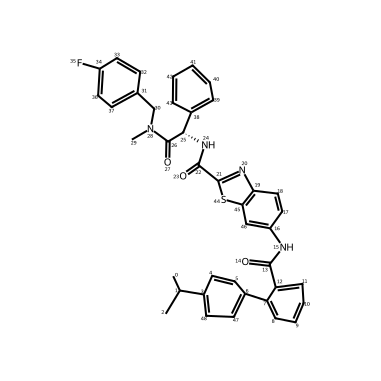 CC(C)c1ccc(-c2ccccc2C(=O)Nc2ccc3nc(C(=O)N[C@H](C(=O)N(C)Cc4ccc(F)cc4)c4ccccc4)sc3c2)cc1